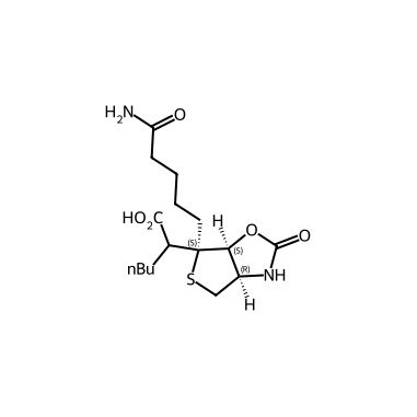 CCCCC(C(=O)O)[C@]1(CCCCC(N)=O)SC[C@@H]2NC(=O)O[C@@H]21